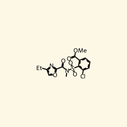 CCc1coc(C(=O)N(C)S(=O)(=O)c2c(Cl)cccc2C(=O)OC)n1